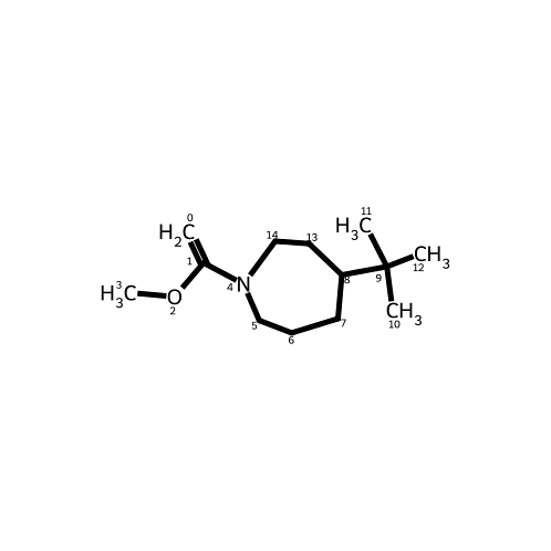 C=C(OC)N1CCCC(C(C)(C)C)CC1